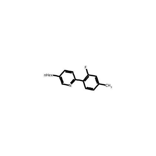 CCCCCCc1ccc(-c2ccc(C)cc2F)nc1